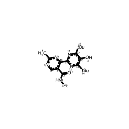 CCNC(=O)c1cnc(C)nc1-c1nc(C(C)(C)C)c(O)c(C(C)(C)C)n1